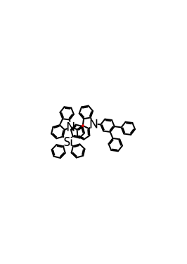 c1ccc(-c2ccc(-n3c4ccccc4c4c(-n5c6ccccc6c6cccc([Si](c7ccccc7)(c7ccccc7)c7ccccc7)c65)cccc43)cc2-c2ccccc2)cc1